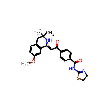 COc1ccc2c(c1)C(=CC(=O)c1ccc(C(=O)NC3=NCCS3)cc1)NC(C)(C)C2